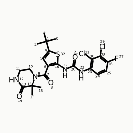 CC(C)(C)c1cc(C(=O)N2CCNC(=O)C2(C)C)c(NC(=O)Nc2ccc(F)c(Cl)c2Cl)s1